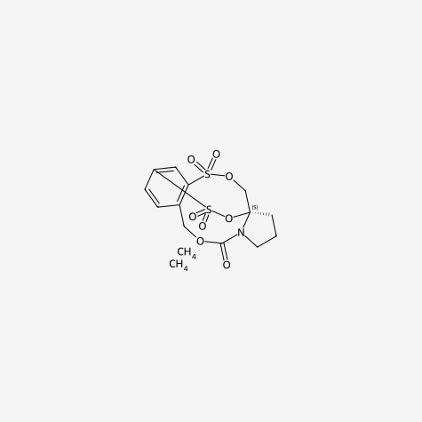 C.C.O=C1OCc2ccc3cc2S(=O)(=O)OC[C@]2(CCCN12)OS3(=O)=O